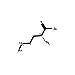 CC(C)NCC[C@@H](N)C(=O)C(C)(C)C